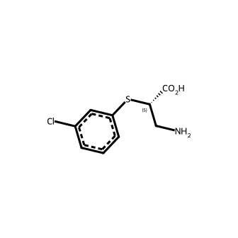 NC[C@H](Sc1cccc(Cl)c1)C(=O)O